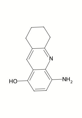 Nc1ccc(O)c2cc3c(nc12)CCCC3